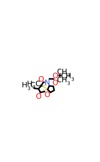 CCC1C(=O)C(=O)SC1(C)C(=O)N(CC(=O)OC(C)(C)C)C1CCCC1